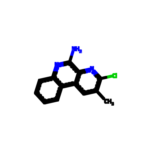 Cc1cc2c(nc1Cl)c(N)nc1ccccc12